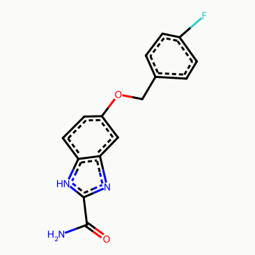 NC(=O)c1nc2cc(OCc3ccc(F)cc3)ccc2[nH]1